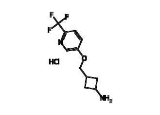 Cl.NC1CC(COc2ccc(C(F)(F)F)nc2)C1